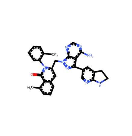 Cc1ccccc1-n1c(Cn2nc(-c3cnc4c(c3)CCN4)c3c(N)ncnc32)cc2cccc(C)c2c1=O